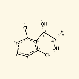 CC[C@H](O)[C@@H](O)c1c(Cl)cccc1Cl